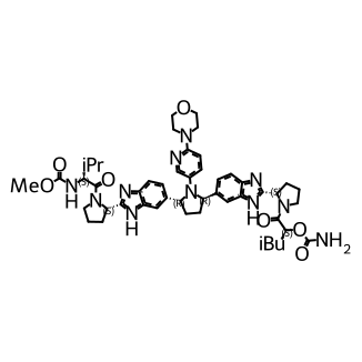 CCC(C)[C@H](OC(N)=O)C(=O)N1CCC[C@H]1c1nc2ccc([C@H]3CC[C@H](c4ccc5nc([C@@H]6CCCN6C(=O)[C@@H](NC(=O)OC)C(C)C)[nH]c5c4)N3c3ccc(N4CCOCC4)nc3)cc2[nH]1